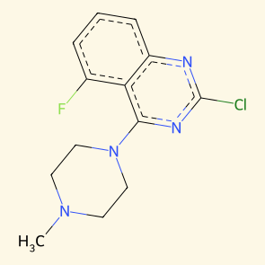 CN1CCN(c2nc(Cl)nc3cccc(F)c23)CC1